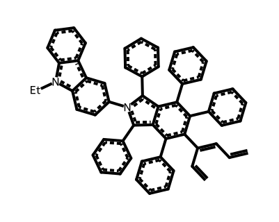 C=C/C=C(\C=C)c1c(-c2ccccc2)c(-c2ccccc2)c2c(-c3ccccc3)n(-c3ccc4c(c3)c3ccccc3n4CC)c(-c3ccccc3)c2c1-c1ccccc1